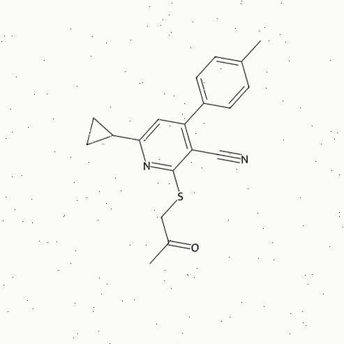 CC(=O)CSc1nc(C2CC2)cc(-c2ccc(C)cc2)c1C#N